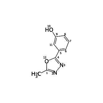 Cc1nnc(-c2cccc(O)c2)o1